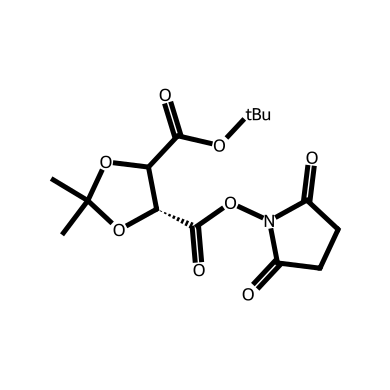 CC(C)(C)OC(=O)C1OC(C)(C)O[C@H]1C(=O)ON1C(=O)CCC1=O